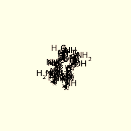 C[C@@H](N)C(=O)OP(=O)(O)OC[C@@H]1C=C[C@H](n2cnc3c(NC4CC4)nc(N)nc32)C1.C[C@@H](N)C(=O)OP(=O)(O)OC[C@@H]1C=C[C@H](n2cnc3c(NC4CC4)nc(N)nc32)C1.N.N